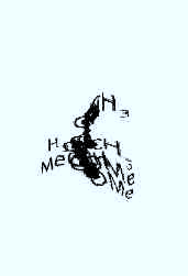 COc1ccc(C(=O)Nc2ccc(C(=O)N(C)c3ccc(C)cc3OCCCCCC(=O)N3CCN(C)CC3)cc2OC)c(OC)c1